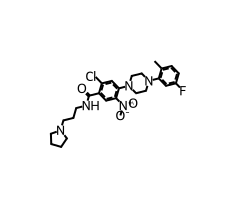 Cc1ccc(F)cc1N1CCN(c2cc(Cl)c(C(=O)NCCCN3CCCC3)cc2[N+](=O)[O-])CC1